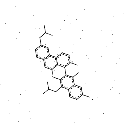 Cc1ccc2c(CC(C)C)c3c(c(C)c2c1)-c1c2c(cc4ccc(CC(C)C)cc4c2cc[n+]1C)S3